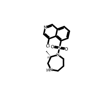 C[C@H]1CNCCCN1S(=O)(=O)c1cccc2cncc(Cl)c12